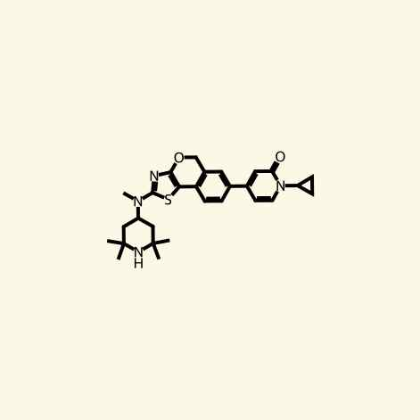 CN(c1nc2c(s1)-c1ccc(-c3ccn(C4CC4)c(=O)c3)cc1CO2)C1CC(C)(C)NC(C)(C)C1